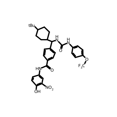 CC(C)(C)C1CCC(C(NC(=O)Nc2ccc(OC(F)(F)F)cc2)c2ccc(C(=O)Nc3ccc(O)c([N+](=O)[O-])c3)cc2)CC1